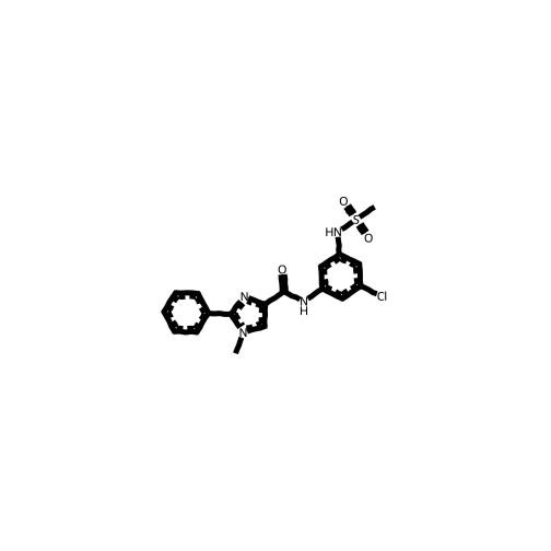 Cn1cc(C(=O)Nc2cc(Cl)cc(NS(C)(=O)=O)c2)nc1-c1ccccc1